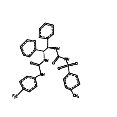 Cc1ccc(S(=O)(=O)NC(=O)N[C@H](c2ccccc2)[C@H](NC(=O)Nc2ccc(C(F)(F)F)cc2)c2ccccc2)cc1